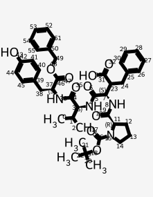 CC(C)[C@H](NC(=O)[C@@H](NC(=O)[C@H]1CCCN1C(=O)OC(C)(C)C)C(Cc1ccccc1)C(=O)O)C(=O)N[C@@H](Cc1ccc(O)cc1)C(=O)OCc1ccccc1